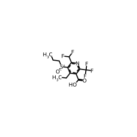 CCC[S+]([O-])c1c(C(F)F)nc(C(F)(F)F)c(C(=O)O)c1CC